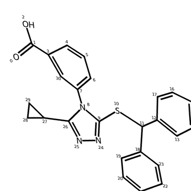 O=C(O)c1cccc(-n2c(SC(c3ccccc3)c3ccccc3)nnc2C2CC2)c1